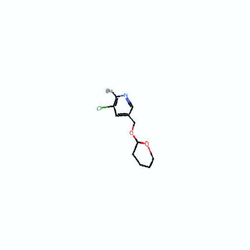 CCC(C)c1ncc(COC2CCCCO2)cc1Cl